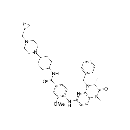 COc1cc(C(=O)NC2CCC(N3CCN(CC4CC4)CC3)CC2)ccc1Nc1ccc2c(n1)N(Cc1ccccc1)[C@H](C)C(=O)N2C